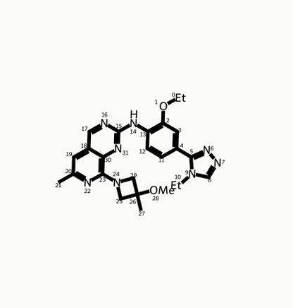 CCOc1cc(-c2nncn2CC)ccc1Nc1ncc2cc(C)nc(N3CC(C)(OC)C3)c2n1